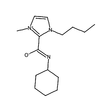 CCCCn1cc[n+](C)c1/C([O-])=N/C1CCCCC1